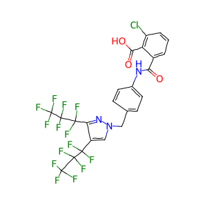 O=C(Nc1ccc(Cn2cc(C(F)(F)C(F)(F)C(F)(F)F)c(C(F)(F)C(F)(F)C(F)(F)F)n2)cc1)c1cccc(Cl)c1C(=O)O